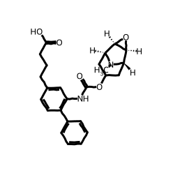 CN1[C@H]2CC(OC(=O)Nc3cc(CCCC(=O)O)ccc3-c3ccccc3)C[C@H]1[C@H]1O[C@H]12